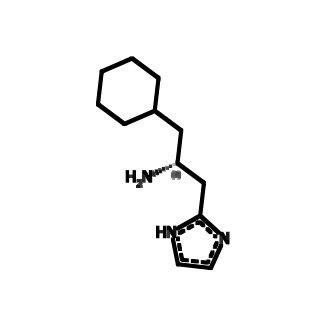 N[C@@H](Cc1ncc[nH]1)CC1CCCCC1